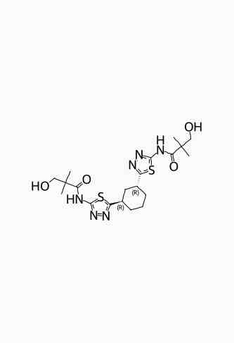 CC(C)(CO)C(=O)Nc1nnc([C@@H]2CCC[C@@H](c3nnc(NC(=O)C(C)(C)CO)s3)C2)s1